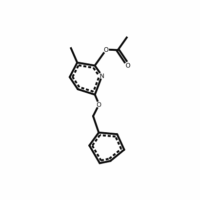 CC(=O)Oc1nc(OCc2ccccc2)ccc1C